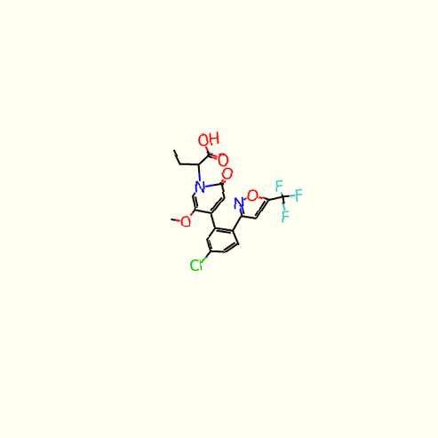 CCC(C(=O)O)n1cc(OC)c(-c2cc(Cl)ccc2-c2cc(C(F)(F)F)on2)cc1=O